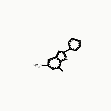 Cc1cc(C(=O)O)cc2cc(-c3ccccc3)oc12